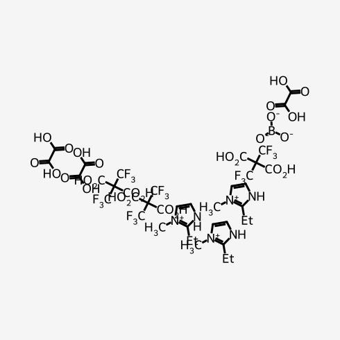 CCc1[nH]cc[n+]1C.CCc1[nH]cc[n+]1C.CCc1[nH]cc[n+]1C.O=C(O)C(=O)O.O=C(O)C(=O)O.O=C(O)C(=O)O.O=C(O)C(C(=O)O)(C(F)(F)F)C(F)(F)F.O=C(O)C(C(=O)O)(C(F)(F)F)C(F)(F)F.O=C(O)C(C(=O)O)(C(F)(F)F)C(F)(F)F.[O-]B([O-])[O-]